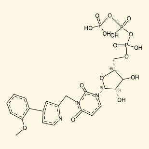 COc1ccccc1-c1ccnc(Cn2c(=O)ccn([C@@H]3O[C@H](COP(=O)(O)OP(=O)(O)OP(=O)(O)O)C(O)[C@@H]3O)c2=O)c1